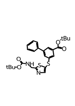 CC(C)(C)OC(=O)NCc1ncc(Sc2cc(C(=O)OC(C)(C)C)cc(-c3ccccc3)c2)s1